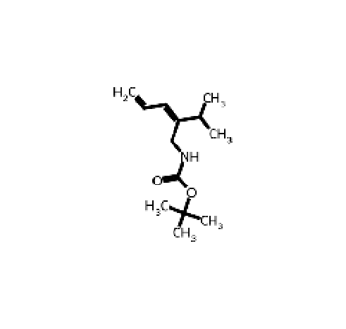 C=C/C=C(\CNC(=O)OC(C)(C)C)C(C)C